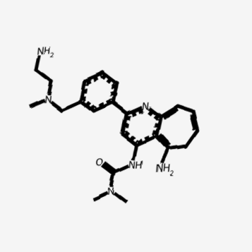 CN(CCN)Cc1cccc(-c2cc(NC(=O)N(C)C)c3c(n2)=CC=CCC=3N)c1